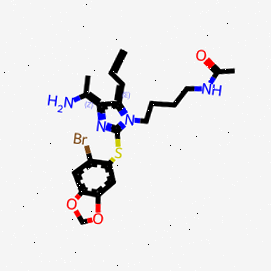 C=C/C=c1\c(=C(/C)N)nc(Sc2cc3c(cc2Br)OCO3)n1CCCCNC(C)=O